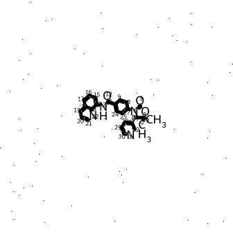 CC1(C)OC(=O)N(c2ccc(C(=O)Nc3cccc4cccnc34)cc2)[C@H]1c1cccnc1